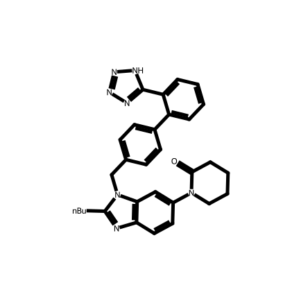 CCCCc1nc2ccc(N3CCCCC3=O)cc2n1Cc1ccc(-c2ccccc2-c2nnn[nH]2)cc1